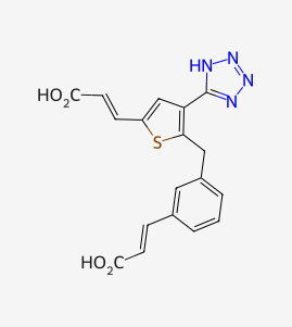 O=C(O)C=Cc1cccc(Cc2sc(/C=C/C(=O)O)cc2-c2nnn[nH]2)c1